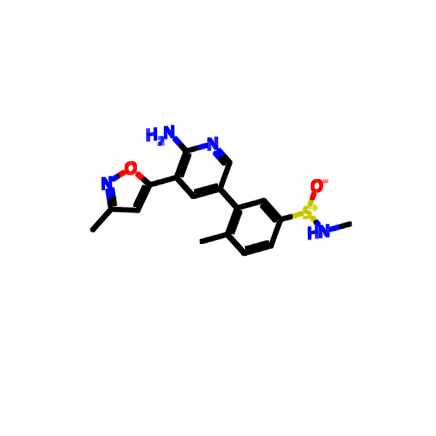 CN[S+]([O-])c1ccc(C)c(-c2cnc(N)c(-c3cc(C)no3)c2)c1